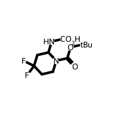 CC(C)(C)OC(=O)N1CCC(F)(F)CC1NC(=O)O